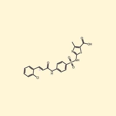 Cc1nc(NS(=O)(=O)c2ccc(NC(=O)/C=C/c3ccccc3Cl)cc2)sc1C(=O)O